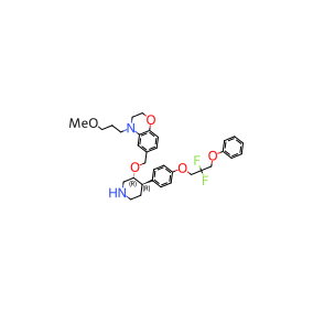 COCCCN1CCOc2ccc(CO[C@H]3CNCC[C@@H]3c3ccc(OCC(F)(F)COc4ccccc4)cc3)cc21